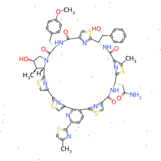 COc1ccc(C[C@@H]2NC(=O)c3csc(n3)[C@H]([C@H](O)c3ccccc3)NC(=O)c3nc(sc3C)[C@H](CC(N)=O)NC(=O)c3csc(n3)-c3ccc(-c4nc(C)cs4)nc3-c3csc(n3)-c3csc(n3)[C@@H]3[C@@H](C)[C@@H](O)CN3C2=O)cc1